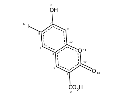 O=C(O)c1cc2cc(I)c(O)cc2oc1=O